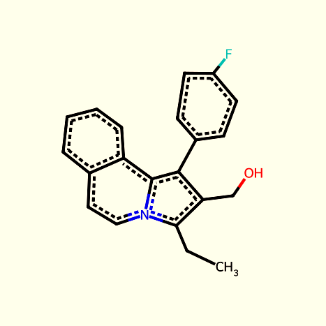 CCc1c(CO)c(-c2ccc(F)cc2)c2c3ccccc3ccn12